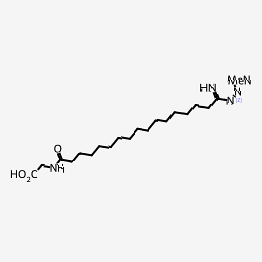 CN/N=N\C(=N)CCCCCCCCCCCCCCCC(=O)NCC(=O)O